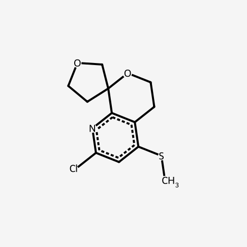 CSc1cc(Cl)nc2c1CCOC21CCOC1